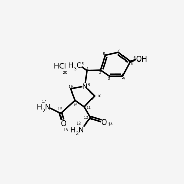 CC(c1ccc(O)cc1)N1CC(C(N)=O)C(C(N)=O)C1.Cl